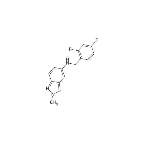 Cn1cc2cc(NCc3ccc(F)cc3F)ccc2n1